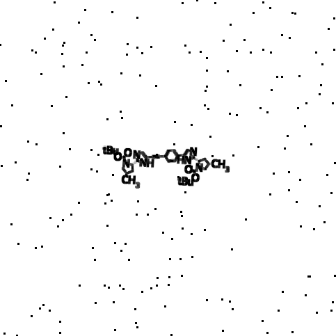 C[C@@H]1C[C@@H](c2ncc(C#Cc3ccc(-c4cnc([C@@H]5C[C@H](C)CN5C(=O)OC(C)(C)C)[nH]4)cc3)[nH]2)N(C(=O)OC(C)(C)C)C1